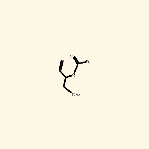 C=CC(COC(C)=O)OC(=O)CC